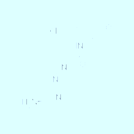 N[C@@H]1CCN(Cc2cn3c(C(=O)NCC4(c5ccc(Cl)cc5)CCOCC4)cccc3n2)C1